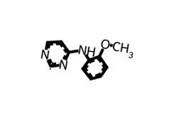 COc1ccccc1Nc1ccn[c]n1